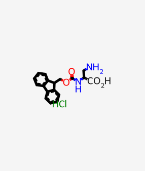 Cl.NCC(NC(=O)OCC1c2ccccc2-c2ccccc21)C(=O)O